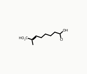 CC(=CCCCCC(O)Cl)C(=O)O